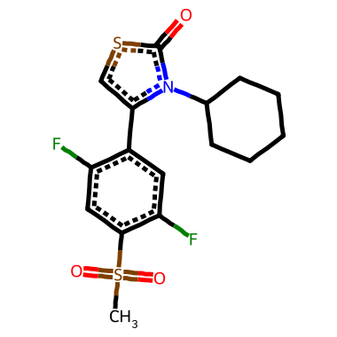 CS(=O)(=O)c1cc(F)c(-c2csc(=O)n2C2CCCCC2)cc1F